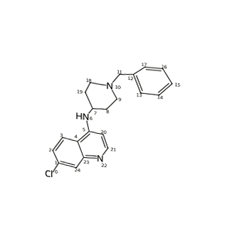 Clc1ccc2c(NC3CCN(Cc4ccccc4)CC3)ccnc2c1